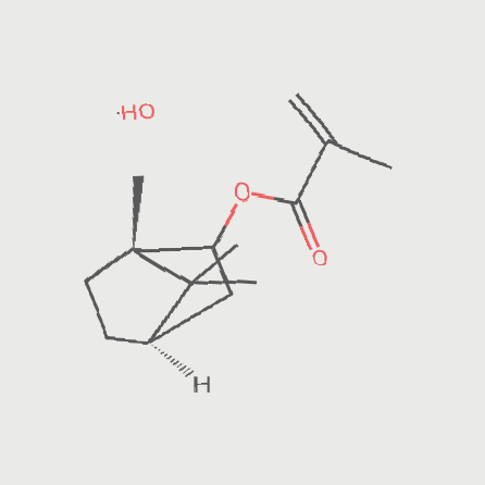 C=C(C)C(=O)OC1C[C@H]2CC[C@@]1(C)C2(C)C.[OH]